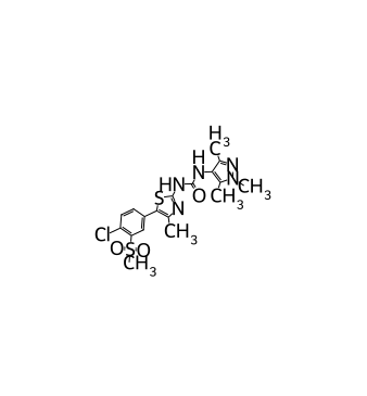 Cc1nc(NC(=O)Nc2c(C)nn(C)c2C)sc1-c1ccc(Cl)c(S(C)(=O)=O)c1